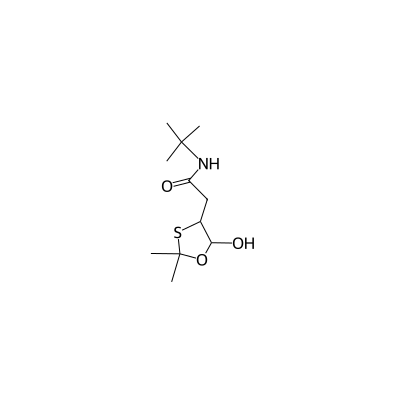 CC(C)(C)NC(=O)CC1SC(C)(C)OC1O